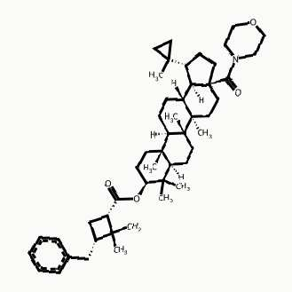 CC1([C@@H]2CC[C@]3(C(=O)N4CCOCC4)CC[C@]4(C)[C@H](CC[C@@H]5[C@@]6(C)CC[C@H](OC(=O)[C@H]7C[C@@H](Cc8ccccc8)C7(C)C)C(C)(C)[C@@H]6CC[C@]54C)[C@@H]23)CC1